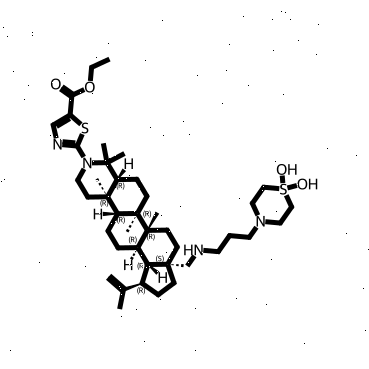 C=C(C)[C@@H]1CC[C@]2(CNCCCN3CCS(O)(O)CC3)CC[C@]3(C)[C@H](CC[C@@H]4[C@@]5(C)CCN(c6ncc(C(=O)OCC)s6)C(C)(C)[C@@H]5CC[C@]43C)[C@@H]12